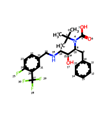 CC(C)(C)N(C(=O)O)[C@@H](Cc1ccccc1)[C@@H](O)CNCc1ccc(F)c(C(F)(F)F)c1